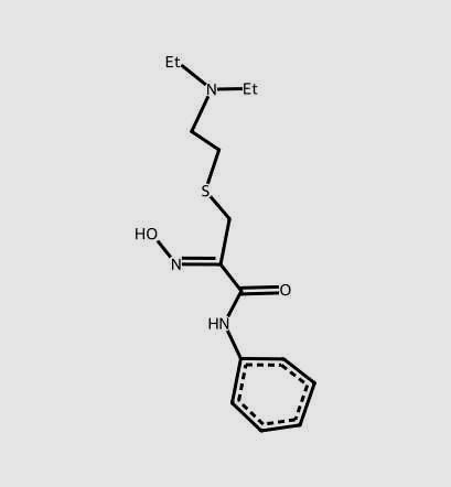 CCN(CC)CCSCC(=NO)C(=O)Nc1ccccc1